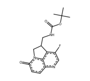 CC(C)(C)OC(=O)NCC1Cn2c(=O)ccc3ncc(F)c1c32